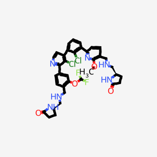 COc1nc(-c2cccc(-c3ccnc(-c4ccc(CNC[C@H]5CCC(=O)N5)c(OC(F)F)c4)c3Cl)c2Cl)ccc1CNC[C@H]1CCC(=O)N1